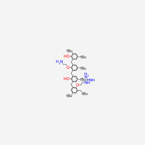 CC(C)(C)Cc1cc(C(C)(C)C)cc(Cc2cc(C(C)(C)C)cc(Cc3cc(C(C)(C)C)cc(Cc4cc(C(C)(C)C)cc(C(C)(C)C)c4O)c3OCCN)c2O)c1OCCNC(=N)N